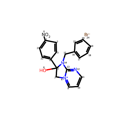 O=[N+]([O-])c1ccc(C2(O)C[n+]3cccnc3N2Cc2ccccc2)cc1.[Br-]